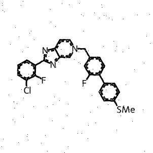 CSc1ccc(-c2ccc(Cn3ccc4nc(-c5cccc(Cl)c5F)nc-4c3)cc2F)cc1